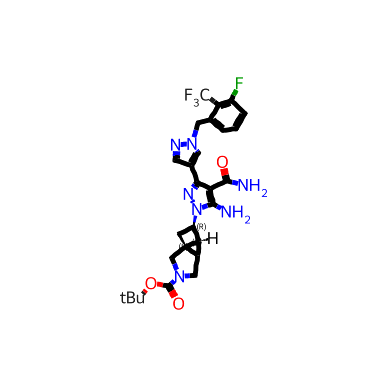 CC(C)(C)OC(=O)N1CC2[C@@H]3[C@H](n4nc(-c5cnn(Cc6cccc(F)c6C(F)(F)F)c5)c(C(N)=O)c4N)C[C@]23C1